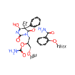 CCCCCCOc1ccccc1C(N)=O.CCCCOCC(CN1C(=O)N=C(O)C(CC)(c2ccccc2)C1=O)OC(N)=O